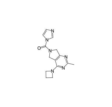 Cc1nc2c(c(N3CCC3)n1)CN(C(=O)n1ccnc1)C2